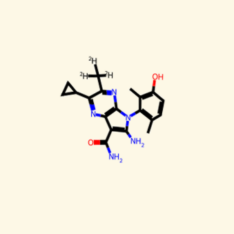 [2H]C([2H])([2H])c1nc2c(nc1C1CC1)c(C(N)=O)c(N)n2-c1c(C)ccc(O)c1C